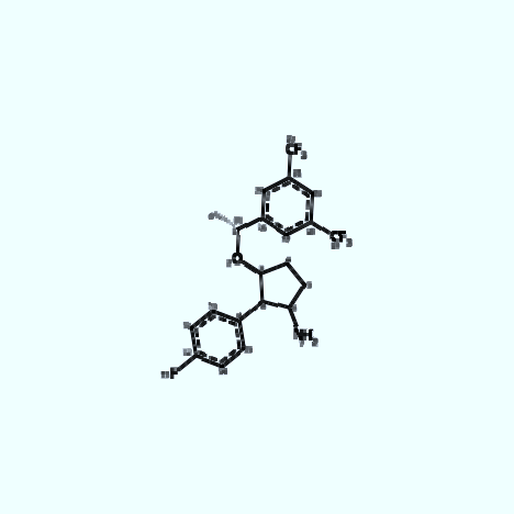 C[C@@H](OC1CCC(N)C1c1ccc(F)cc1)c1cc(C(F)(F)F)cc(C(F)(F)F)c1